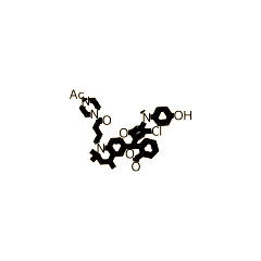 CC(=O)N1CCN(C(=O)CCCN2c3cc4c(cc3C(C)CC2(C)C)C2(OC(=O)c3ccccc32)c2cc(Cl)c(N(C)c3ccc(O)cc3)cc2O4)CC1